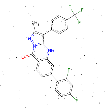 Cc1nn2c(=O)c3ccc(-c4ccc(F)cc4F)cc3[nH]c2c1-c1ccc(C(F)(F)F)cc1